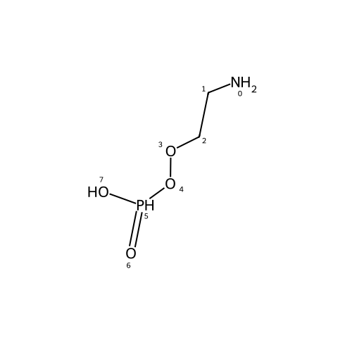 NCCOO[PH](=O)O